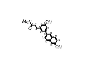 CNC(=O)CCc1cc(O)cc(-c2ccc3cc(O)ccc3c2)c1